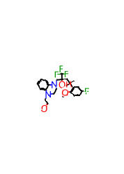 COc1ccc(F)cc1C(C)(C)CC(O)(CN1CCN(CC=O)c2ccccc21)C(F)(F)F